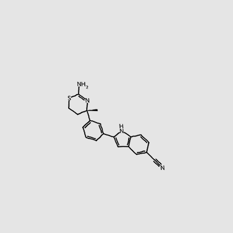 C[C@@]1(c2cccc(-c3cc4cc(C#N)ccc4[nH]3)c2)CCSC(N)=N1